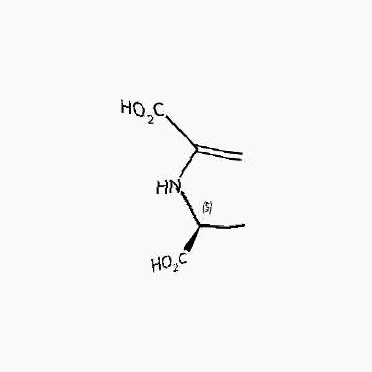 C=C(N[C@@H](C)C(=O)O)C(=O)O